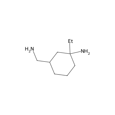 CCC1(N)CCCC(CN)C1